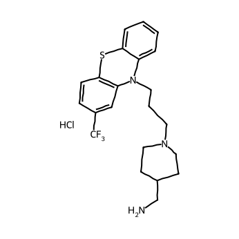 Cl.NCC1CCN(CCCN2c3ccccc3Sc3ccc(C(F)(F)F)cc32)CC1